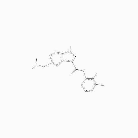 CN(C)Cc1cnc2[nH]cc(C(=O)Cc3cccc(F)c3F)c2c1